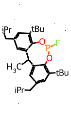 CC(C)Cc1cc2c(c(C(C)(C)C)c1)OP(F)Oc1c(cc(CC(C)C)cc1C(C)(C)C)C2C